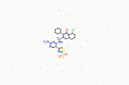 C[C@H](Nc1nc(N)ncc1-c1csc(S(C)(=O)=O)n1)c1cc2cccc(Cl)c2c(=O)n1-c1ccccc1